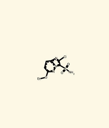 CCOc1ccc2nc(Cl)c(S(N)(=O)=O)n2n1